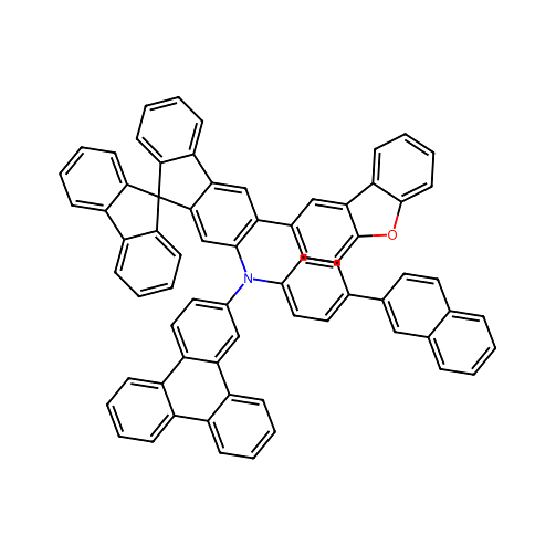 c1ccc2c(c1)-c1ccccc1C21c2ccccc2-c2cc(-c3ccc4oc5ccccc5c4c3)c(N(c3ccc(-c4ccc5ccccc5c4)cc3)c3ccc4c5ccccc5c5ccccc5c4c3)cc21